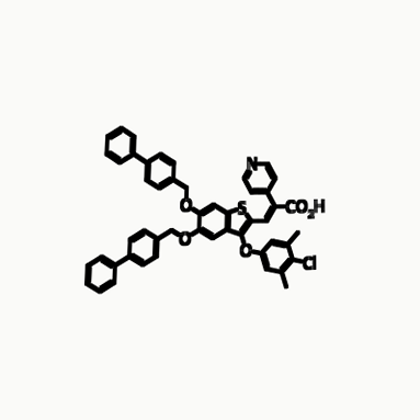 Cc1cc(Oc2c(/C=C(/C(=O)O)c3ccncc3)sc3cc(OCc4ccc(-c5ccccc5)cc4)c(OCc4ccc(-c5ccccc5)cc4)cc23)cc(C)c1Cl